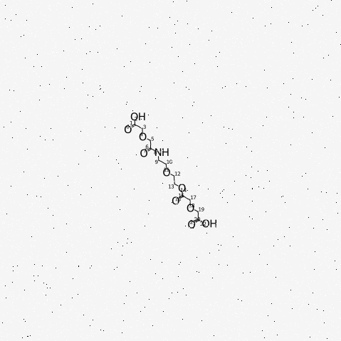 O=C(O)COCC(=O)NCCOCCOC(=O)COCC(=O)O